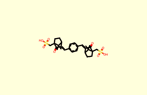 CC1(C)C2CCC1(CS(=O)(=O)O)C(=O)/C2=C/c1ccc(/C=C2/C(=O)C3(CS(=O)(=O)O)CCC2C3(C)C)cc1